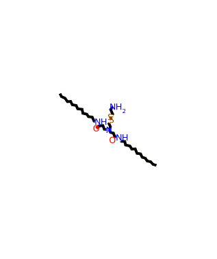 CCCCCCCCCCCCCCNC(=O)CCN(CCSSCCN)CCC(=O)NCCCCCCCCCCCCCC